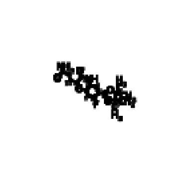 CC1(C)OB(c2cc3c(cc2F)OC(CCC(N)=O)C(=O)N3)OC1(C)C